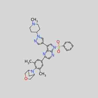 Cc1cc(-c2cnc3c(n2)c(-c2cnn(C4CCN(C)CC4)c2)cn3S(=O)(=O)c2ccccc2)cc(C)c1N1C2COCC1C2